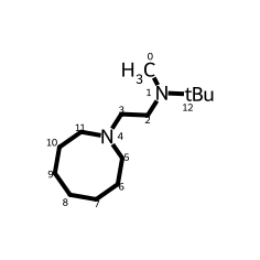 CN(CCN1CCCCCCC1)C(C)(C)C